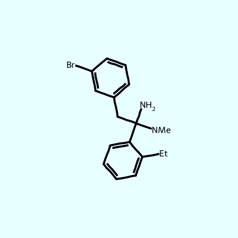 CCc1ccccc1C(N)(Cc1cccc(Br)c1)NC